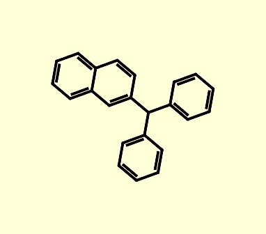 c1ccc(C(c2ccccc2)c2ccc3ccccc3c2)cc1